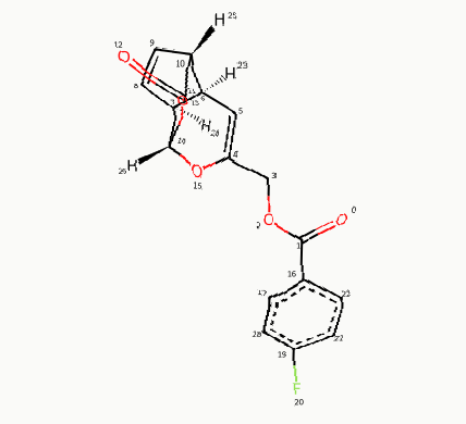 O=C(OCC1=C[C@H]2[C@@H]3C=C[C@H]2C(=O)O[C@@H]3O1)c1ccc(F)cc1